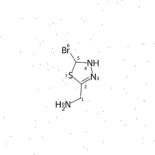 NCC1=NNC(Br)S1